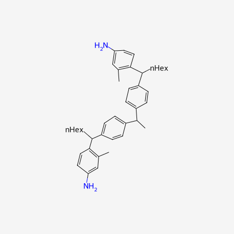 CCCCCCC(c1ccc(C(C)c2ccc(C(CCCCCC)c3ccc(N)cc3C)cc2)cc1)c1ccc(N)cc1C